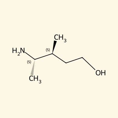 C[C@H](N)[C@@H](C)CCO